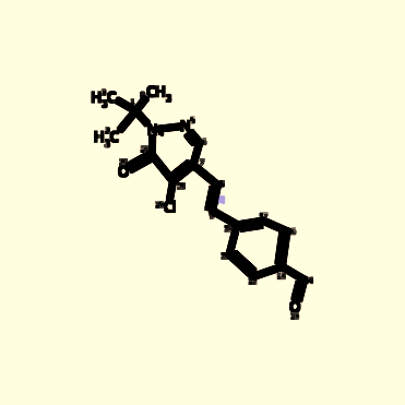 CC(C)(C)n1ncc(/C=C/c2ccc(C=O)cc2)c(Cl)c1=O